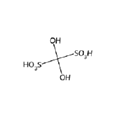 O=S(=O)(O)C(O)(O)S(=O)(=O)O